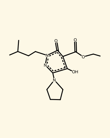 CCOC(=O)c1c(O)c(N2CCCC2)nn(CCC(C)C)c1=O